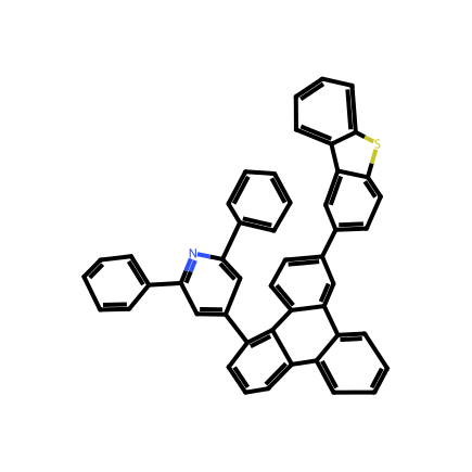 c1ccc(-c2cc(-c3cccc4c5ccccc5c5cc(-c6ccc7sc8ccccc8c7c6)ccc5c34)cc(-c3ccccc3)n2)cc1